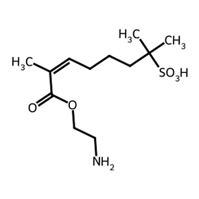 CC(=CCCCC(C)(C)S(=O)(=O)O)C(=O)OCCN